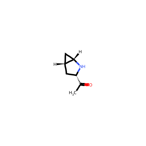 CC(=O)[C@@H]1C[C@@H]2C[C@@H]2N1